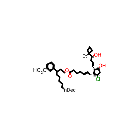 CCCCCCCCCCCCCCCC(CCOC(=O)CCCC=CC[C@@H]1[C@@H](C=CC[C@H](O)C2(CC)CCC2)[C@H](O)C[C@H]1Cl)c1cccc(C(=O)O)c1